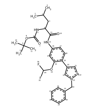 CC(C)CC(NC(=O)OC(C)(C)C)C(=O)Nc1ccc(-c2cnn(Cc3ccccc3)c2)c(OC(F)F)c1